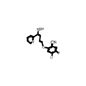 CNC(CCCOc1cc(Cl)c(F)cc1C#N)c1ccccn1